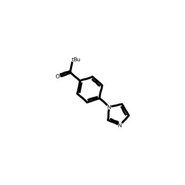 CC(C)(C)C(=O)c1ccc(-n2ccnc2)cc1